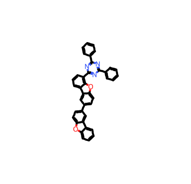 c1ccc(-c2nc(-c3ccccc3)nc(-c3cccc4c3oc3ccc(-c5ccc6oc7ccccc7c6c5)cc34)n2)cc1